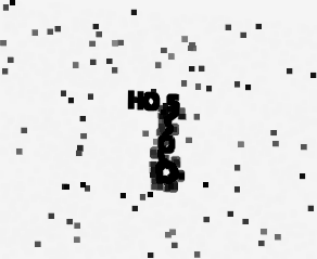 O=S(=O)(O)CCCCOCc1ccccc1